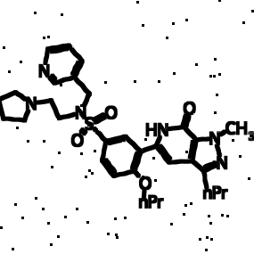 CCCOc1ccc(S(=O)(=O)N(CCN2CCCC2)Cc2cccnc2)cc1-c1cc2c(CCC)nn(C)c2c(=O)[nH]1